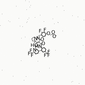 COC(=O)COc1ccc(CN2C(=O)C(C(=O)Nc3ccc(C(F)(F)F)cc3-c3ccc(C(F)(F)F)nc3)=C(O)C3(C)CCCN23)c(F)c1F